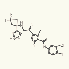 Cc1c(C(=O)CNC2(c3cn[nH]n3)CC(F)(F)C2)cn(C)c1C(=O)Nc1ccc(F)c(Cl)c1